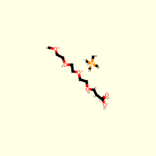 COCCOCCOCCOCCC(=O)[O-].C[P+](C)(C)C